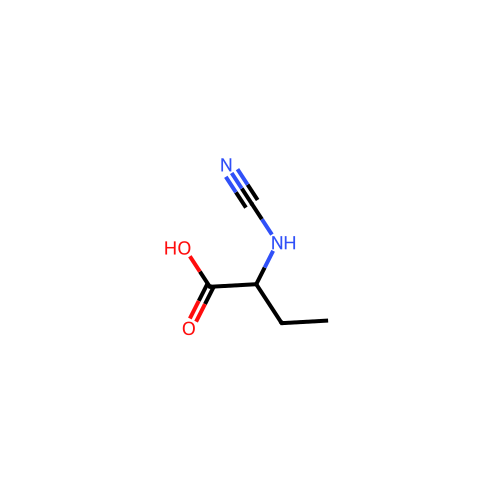 CCC(NC#N)C(=O)O